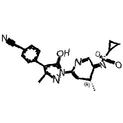 Cc1nn(C2=C[C@@H](C)C(=NS(=O)(=O)C3CC3)C=N2)c(O)c1-c1ccc(C#N)cc1